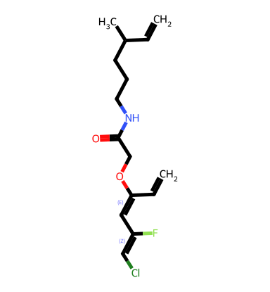 C=C/C(=C\C(F)=C\Cl)OCC(=O)NCCCC(C)C=C